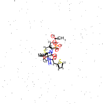 CO[C@@]1(NC(=O)Cc2cccs2)C(=O)N2C(P(=O)([O-])[O-])=C(COC(C)=O)CS[C@H]21.[Na+].[Na+]